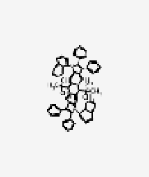 CC(C)(C)c1c2cc3c(-c4ccccc4)c(-c4ccccc4)n(-c4cccc5ccccc45)c3cc2c(C(C)(C)C)c2cc3c(-c4ccccc4)c(-c4ccccc4)n(-c4cccc5ccccc45)c3cc12